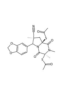 CC(=O)S[C@@]1(C)C(=O)N2C(c3ccc4c(c3)OCO4)[C@@](C)(C#N)C[C@]2(SC(C)=O)C(=O)N1C